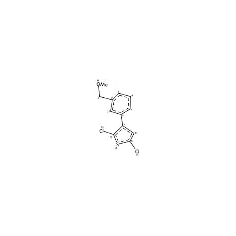 COCc1cccc(-c2[c]c(Cl)sc2Cl)c1